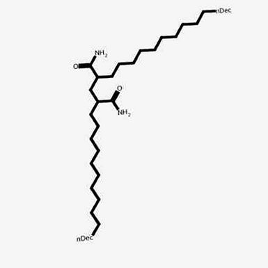 CCCCCCCCCCCCCCCCCCCCC(CC(CCCCCCCCCCCCCCCCCCCC)C(N)=O)C(N)=O